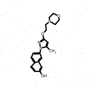 Cc1cc(OCCN2CCOCC2)nn1-c1ccc2ccc(O)cc2c1